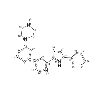 CN1CCN(c2cncc(-c3ccnc(-c4ncc(-c5ccccc5)[nH]4)c3)c2)CC1